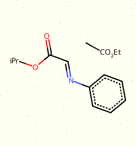 CC(C)OC(=O)C=Nc1ccccc1.CCOC(C)=O